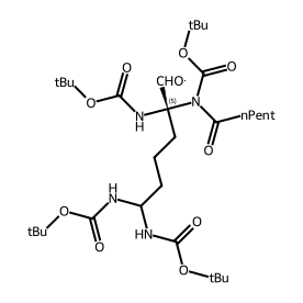 CCCCCC(=O)N(C(=O)OC(C)(C)C)[C@]([C]=O)(CCCC(NC(=O)OC(C)(C)C)NC(=O)OC(C)(C)C)NC(=O)OC(C)(C)C